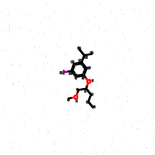 CCCC(COC)Oc1cc(I)cc(C(C)C)c1